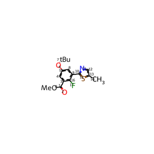 COC(=O)c1cc(OC(C)(C)C)cc(-c2ncc(C)s2)c1F